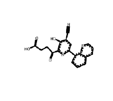 N#Cc1cc(-c2cccc3cccnc23)nc(C(=O)CCC(=O)O)c1O